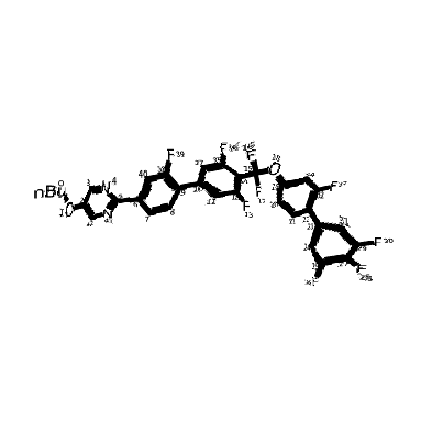 CCCCOc1cnc(-c2ccc(-c3cc(F)c(C(F)(F)Oc4ccc(-c5cc(F)c(F)c(F)c5)c(F)c4)c(F)c3)c(F)c2)nc1